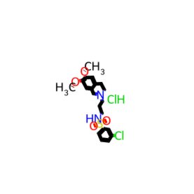 COc1cc2c(cc1OC)CN(CCCNS(=O)(=O)c1cccc(Cl)c1)CC2.Cl